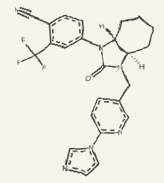 N#Cc1ccc(N2C(=O)N(Cc3ccc(-n4ccnc4)nc3)[C@@H]3CCCC[C@H]32)cc1C(F)(F)F